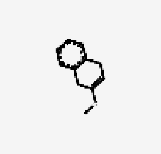 COC1=CCc2ccccc2C1